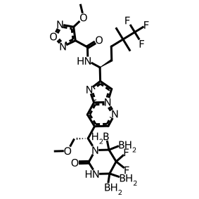 BC1(B)NC(=O)N([C@H](COC)c2cnn3cc([C@H](CCC(C)(C)C(F)(F)F)NC(=O)c4nonc4OC)nc3c2)C(B)(B)C1(F)F